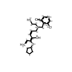 C=C/C(OC1CCCC1)=C(O)\C=C/CN(CCS)Cc1c(Cl)cncc1Cl